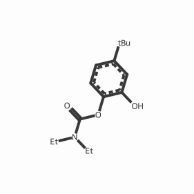 CCN(CC)C(=O)Oc1ccc(C(C)(C)C)cc1O